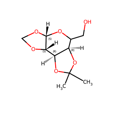 CC1(C)O[C@H]2[C@@H]3OCO[C@@H]3OC(CO)[C@H]2O1